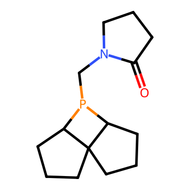 O=C1CCCN1CP1C2CCCC23CCCC13